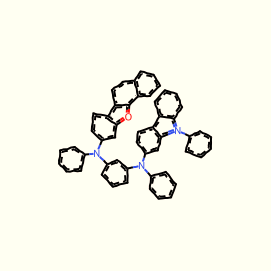 c1ccc(N(c2cccc(N(c3ccccc3)c3ccc4c5ccccc5n(-c5ccccc5)c4c3)c2)c2ccc3c(c2)oc2c4ccccc4ccc32)cc1